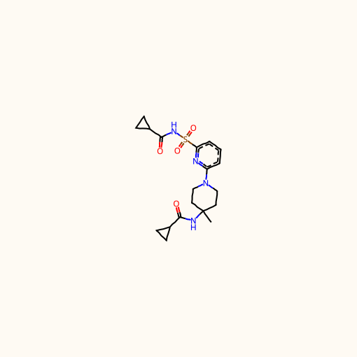 CC1(NC(=O)C2CC2)CCN(c2cccc(S(=O)(=O)NC(=O)C3CC3)n2)CC1